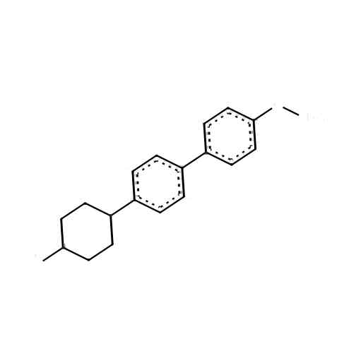 CCCCCOc1ccc(-c2ccc(C3CCC(CC)CC3)cc2)cc1